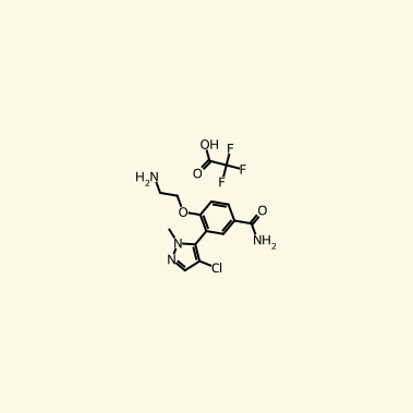 Cn1ncc(Cl)c1-c1cc(C(N)=O)ccc1OCCN.O=C(O)C(F)(F)F